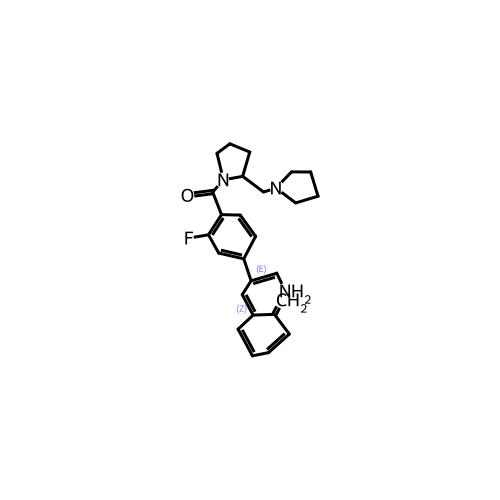 C=c1cccc/c1=C/C(=C\N)c1ccc(C(=O)N2CCCC2CN2CCCC2)c(F)c1